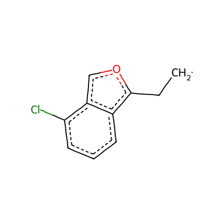 [CH2]Cc1occ2c(Cl)cccc12